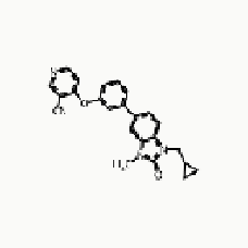 Cn1c(=O)n(CC2CC2)c2ccc(-c3cccc(Oc4ccncc4C#N)c3)cc21